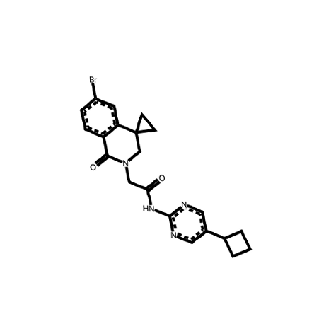 O=C(CN1CC2(CC2)c2cc(Br)ccc2C1=O)Nc1ncc(C2CCC2)cn1